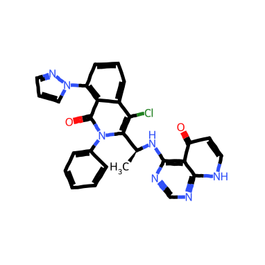 C[C@H](Nc1ncnc2[nH]ccc(=O)c12)c1c(Cl)c2cccc(-n3cccn3)c2c(=O)n1-c1ccccc1